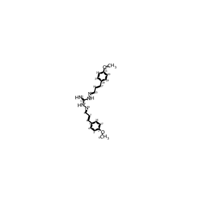 COc1ccc(/C=C/C=N/NC(=N)N/N=C/C=C/c2ccc(OC)cc2)cc1